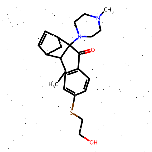 CCC1C2C=CC(C2)C1(C(=O)c1ccc(SCCO)cc1)N1CCN(C)CC1